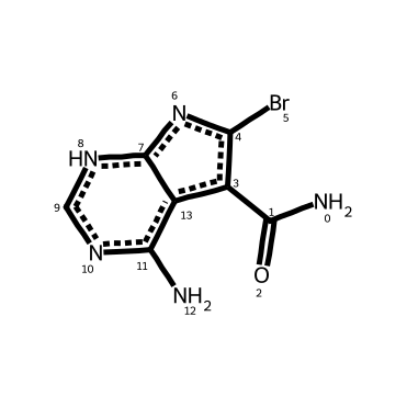 NC(=O)c1c(Br)nc2[nH]cnc(N)c1-2